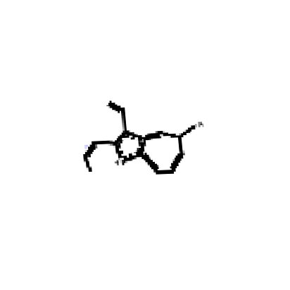 C=Cc1c(/C=C\C)[nH]c2c1=CC(CCC)C=CC=2